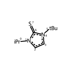 CC(C)n1ccn(C(C)(C)C)c1=S